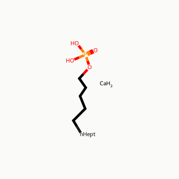 CCCCCCCCCCCCOP(=O)(O)O.[CaH2]